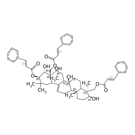 CC1(C)CC2C3=CCC4[C@@]5(C)CC[C@H](O)[C@](C)(COC(=O)/C=C/c6ccccc6)C5CC[C@@]4(C)[C@]3(C)C[C@@H](O)[C@@]2(COC(=O)/C=C/c2ccccc2)[C@@H](O)[C@@H]1OC(=O)/C=C/c1ccccc1